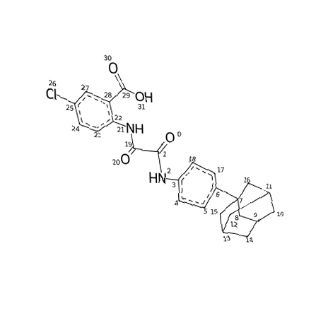 O=C(Nc1ccc(C23CC4CC(CC(C4)C2)C3)cc1)C(=O)Nc1ccc(Cl)cc1C(=O)O